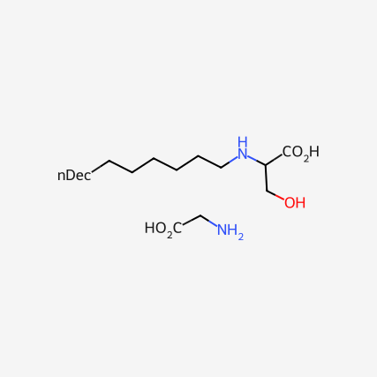 CCCCCCCCCCCCCCCCNC(CO)C(=O)O.NCC(=O)O